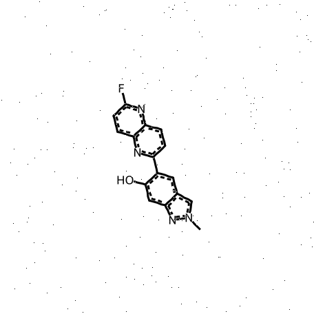 Cn1cc2cc(-c3ccc4nc(F)ccc4n3)c(O)cc2n1